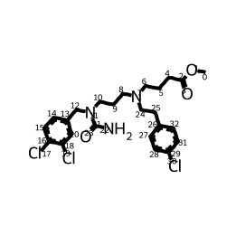 COC(=O)CCCN(CCCN(Cc1ccc(Cl)c(Cl)c1)C(N)=O)CCc1ccc(Cl)cc1